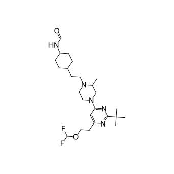 CC1CN(c2cc(CCOC(F)F)nc(C(C)(C)C)n2)CCN1CCC1CCC(NC=O)CC1